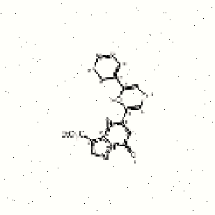 CCOC(=O)c1cnn2c(=O)cc(C3=COC=C(C4=CC=CCC4)O3)[nH]c12